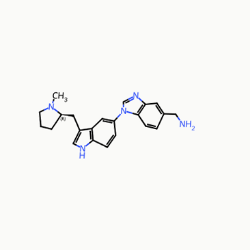 CN1CCC[C@@H]1Cc1c[nH]c2ccc(-n3cnc4cc(CN)ccc43)cc12